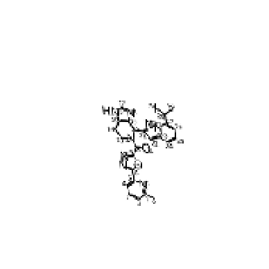 Cc1cccc(-c2nnc(C(=O)N3CCc4[nH]cnc4[C@H]3c3cc4cccc(C(C)I)n4n3)o2)n1